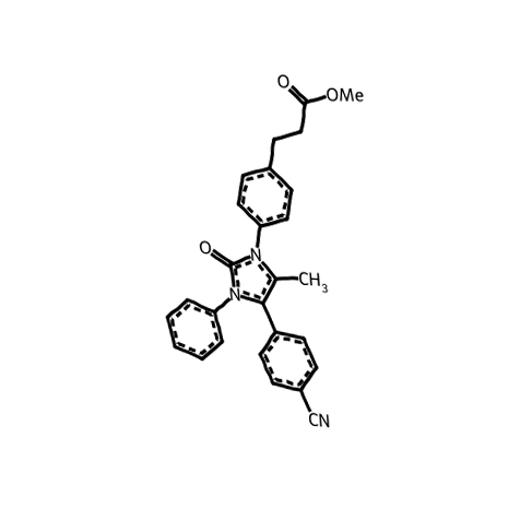 COC(=O)CCc1ccc(-n2c(C)c(-c3ccc(C#N)cc3)n(-c3ccccc3)c2=O)cc1